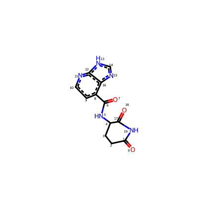 O=C1CCC(NC(=O)c2ccnc3[nH]cnc23)C(=O)N1